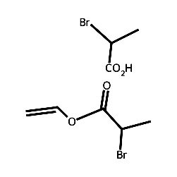 C=COC(=O)C(C)Br.CC(Br)C(=O)O